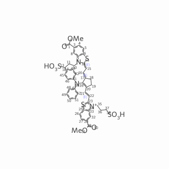 COC(=O)c1ccc2c(c1)N(CCCS(=O)(=O)O)/C(=C\C=C1/CCC(/C=C/c3sc4ccc(C(=O)OC)cc4[n+]3CCCS(=O)(=O)O)=C1N(c1ccccc1)c1ccccc1)S2